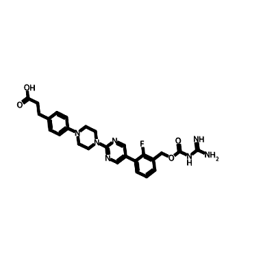 N=C(N)NC(=O)OCc1cccc(-c2cnc(N3CCN(c4ccc(CCC(=O)O)cc4)CC3)nc2)c1F